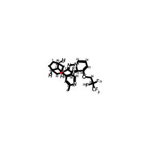 Cc1cc(N2C[C@H]3CC[C@@H](C2)C3Nc2nc3c(OCC(F)(F)C(F)(F)F)cccn3n2)c(F)cn1